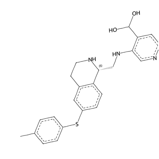 Cc1ccc(Sc2ccc3c(c2)CCN[C@@H]3CNc2cnccc2C(O)O)cc1